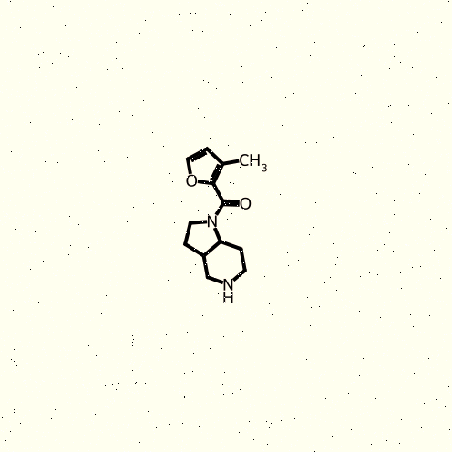 Cc1ccoc1C(=O)N1CCC2CNCCC21